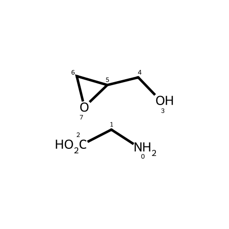 NCC(=O)O.OCC1CO1